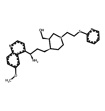 COc1ccc2nccc([C@H](N)CC[C@@H]3CCN(CCSc4ccccn4)C[C@@H]3CO)c2c1